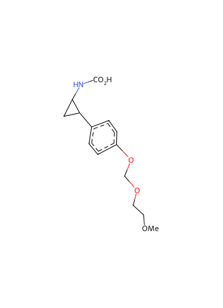 COCCOCOc1ccc(C2CC2NC(=O)O)cc1